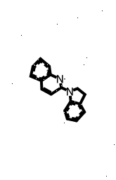 C1=CC(N2CCc3ccccc32)[N]c2ccccc21